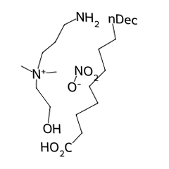 CCCCCCCCCCCCCCCCCC(=O)O.C[N+](C)(CCO)CCCN.O=[N+]([O-])[O-]